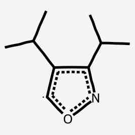 CC(C)c1[c]onc1C(C)C